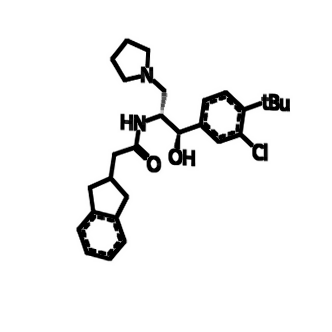 CC(C)(C)c1ccc([C@@H](O)[C@@H](CN2CCCC2)NC(=O)CC2Cc3ccccc3C2)cc1Cl